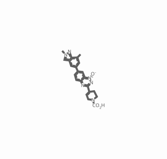 Cc1cc(-c2ccc3nc(C4=CCN(C(=O)O)CC4)n[n+]([O-])c3c2)cc2cn(C)nc12